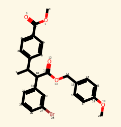 COC(=O)c1ccc(C(C)C(C(=O)OCc2ccc(OC)cc2)c2cccc(Br)c2)cc1